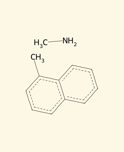 CN.Cc1cccc2ccccc12